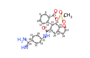 CS(=O)(=O)OC(=O)c1ccccc1-c1cc2occc2cc1C(=O)Nc1ccc(C(=N)N)cc1